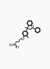 CCN(CC)CCCOc1ccc(C(C)(CC(=O)c2ccccc2)c2ccccc2)cc1C